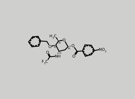 C[C@H]1O[C@H](OC(=O)c2ccc([N+](=O)[O-])cc2)C[C@H](NC(=O)C(F)(F)F)[C@H]1OCc1ccccc1